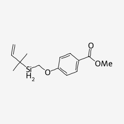 C=CC(C)(C)[SiH2]COc1ccc(C(=O)OC)cc1